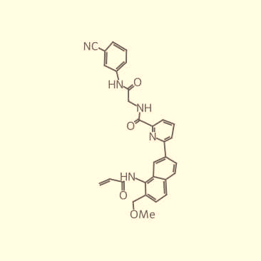 C=CC(=O)Nc1c(COC)ccc2ccc(-c3cccc(C(=O)NCC(=O)Nc4cccc(C#N)c4)n3)cc12